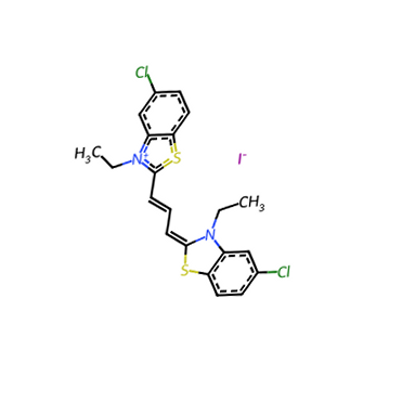 CCN1C(=CC=Cc2sc3ccc(Cl)cc3[n+]2CC)Sc2ccc(Cl)cc21.[I-]